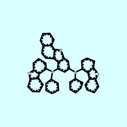 c1ccc(N(c2cccc3oc4ccccc4c23)c2cc(N(c3ccccc3)c3cccc4sc5ccccc5c34)cc3oc4c5ccccc5ccc4c23)cc1